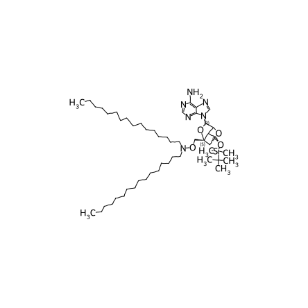 CCCCCCCCCCCCCCCCN(CCCCCCCCCCCCCCCC)OC[C@]12C[C@@]3(O[Si](C)(C)C(C)(C)C)OC(C13)[C@H](n1cnc3c(N)ncnc31)O2